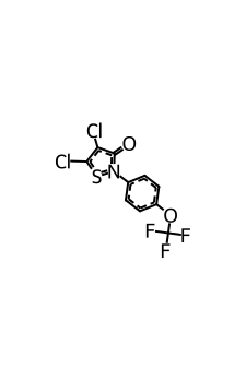 O=c1c(Cl)c(Cl)sn1-c1ccc(OC(F)(F)F)cc1